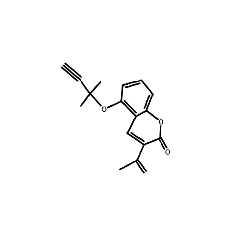 C#CC(C)(C)Oc1cccc2oc(=O)c(C(=C)C)cc12